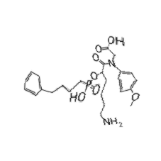 COc1ccc(N(CC(=O)O)C(=O)C(CCCCN)OP(=O)(O)CCCCc2ccccc2)cc1